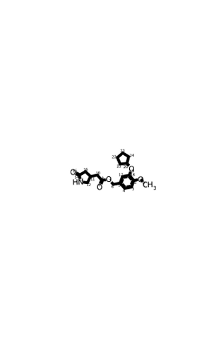 COc1ccc(COC(=O)CC2CNC(=O)C2)cc1OC1CCCC1